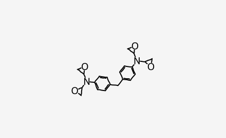 c1cc(N(C2CO2)C2CO2)ccc1Cc1ccc(N(C2CO2)C2CO2)cc1